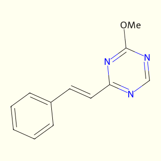 COc1ncnc(C=Cc2ccccc2)n1